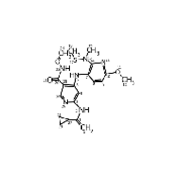 C=C(Nc1cc(Nc2ccc(OC)nc2N(C)SC)c(C(=O)NOC)cn1)C1CC1